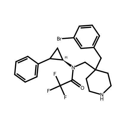 O=C(N(CC1(Cc2cccc(Br)c2)CCNCC1)[C@@H]1CC1c1ccccc1)C(F)(F)F